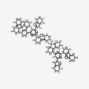 CC1(Cc2ccc3oc4c(-c5nc(-c6cc7ccccc7o6)cc(-c6cccc7c6-c6ccccc6C7(c6ccccc6)c6ccccc6)n5)cccc4c3c2)c2ccccc2-c2c(-c3cc(-c4cc5ccccc5o4)nc(-c4cccc5c4oc4ccccc45)n3)cccc21